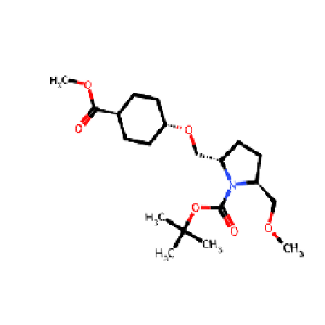 COC[C@@H]1CC[C@@H](CO[C@H]2CC[C@H](C(=O)OC)CC2)N1C(=O)OC(C)(C)C